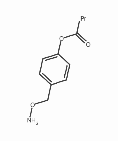 CC(C)C(=O)Oc1ccc(CON)cc1